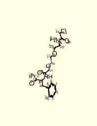 CC(C)C(=O)[C@H](Cc1ccccc1)NC(=O)COCCOCCNC(=O)CCl